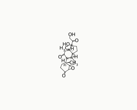 C[C@]12CC(=O)[C@H]3[C@@H](CCC45OC4C(=O)CC[C@]35C)[C@@H]1CC[C@]2(O)C(=O)CO